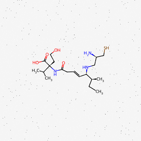 CC[C@H](C)[C@@H](/C=C/CC(=O)N[C@@](CCO)(C(=O)O)C(C)C)NC[C@@H](N)CS